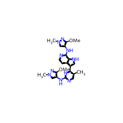 COc1nn(C)cc1Nc1ncc(C)c(-c2c[nH]c3c(Nc4cn(C)nc4OC)nccc23)n1